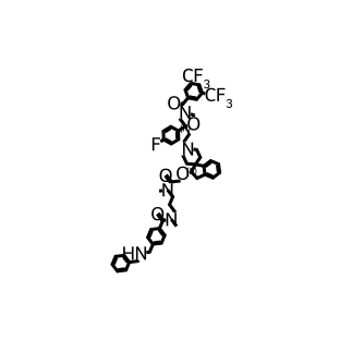 CN(CCCN(C)C(=O)c1ccc(CNCc2ccccc2)cc1)C(=O)CO[C@H]1Cc2ccccc2C12CCN(CC[C@@]1(c3ccc(F)cc3)CN(C(=O)c3cc(C(F)(F)F)cc(C(F)(F)F)c3)CO1)CC2